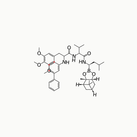 COc1cc(CC(Nc2cccc(-c3ccccc3)c2)C(=O)NC(C(=O)N[C@@H](CC(C)C)B2O[C@@H]3C[C@@H]4C[C@@H](C4(C)C)[C@]3(C)O2)C(C)C)cc(OC)c1OC